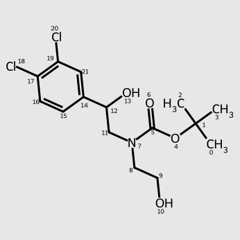 CC(C)(C)OC(=O)N(CCO)CC(O)c1ccc(Cl)c(Cl)c1